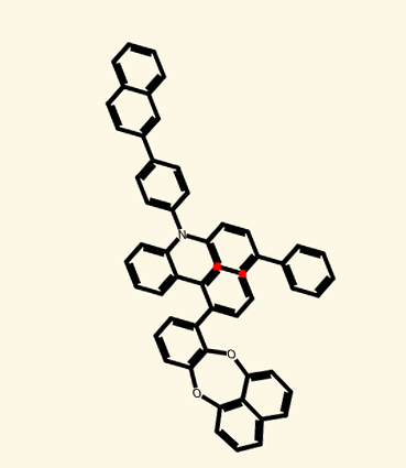 c1ccc(-c2ccc(N(c3ccc(-c4ccc5ccccc5c4)cc3)c3ccccc3-c3ccccc3-c3cccc4c3Oc3cccc5cccc(c35)O4)cc2)cc1